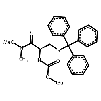 CON(C)C(=O)[C@@H](CSC(c1ccccc1)(c1ccccc1)c1ccccc1)NC(=O)OC(C)(C)C